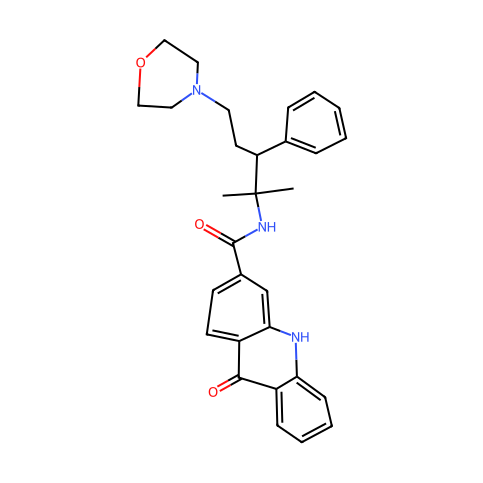 CC(C)(NC(=O)c1ccc2c(=O)c3ccccc3[nH]c2c1)C(CCN1CCOCC1)c1ccccc1